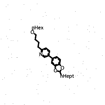 CCCCCCCC1Oc2ccc(-c3ccc(CCCCOCCCCCC)nc3)cc2O1